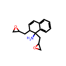 NC1(CC2CO2)c2ccccc2C=CC1CC1CO1